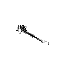 CCCCCCCCCCCCCCCCOCC(C)OP(=O)(O)O